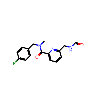 CN(Cc1ccc(F)cc1)C(=O)c1cccc(CNC=O)n1